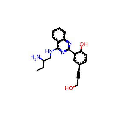 CCC(N)CNc1nc(-c2cc(C#CCO)ccc2O)nc2ccccc12